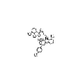 COc1cccc(C(=O)N(C)CCCn2c(=N)n(CC(=O)c3ccc(Cl)cc3)c3cccc(Cl)c32)c1OC